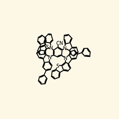 N#Cc1c(-n2c3ccccc3c3ccccc32)c(-n2c3ccc(-c4ccccc4)cc3c3ccc4c5ccccc5sc4c32)cc(-n2c3ccc(-c4ccccc4)cc3c3ccc4c5ccccc5sc4c32)c1-n1c2ccccc2c2ccccc21